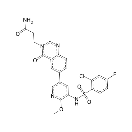 COc1ncc(-c2ccc3ncn(CCC(N)=O)c(=O)c3c2)cc1NS(=O)(=O)c1ccc(F)cc1Cl